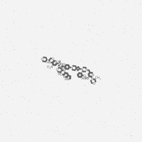 COc1cc(CN2CCN(C3CC4(CCN(c5ccc(C(=O)NS(=O)(=O)c6cc([N+](=O)[O-])c7c(n6)OC[C@@H](C6CCOCC6)N7)c(N6c7cc8cc[nH]c8nc7O[C@H]7COCC[C@@H]76)c5)CC4)C3)[C@@H](c3ccccc3OC(C)C)C2)cnc1N1CCOC[C@H]1C